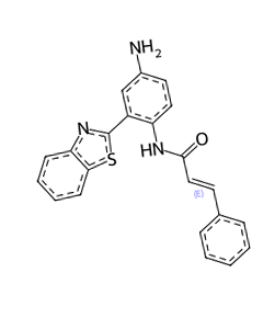 Nc1ccc(NC(=O)/C=C/c2ccccc2)c(-c2nc3ccccc3s2)c1